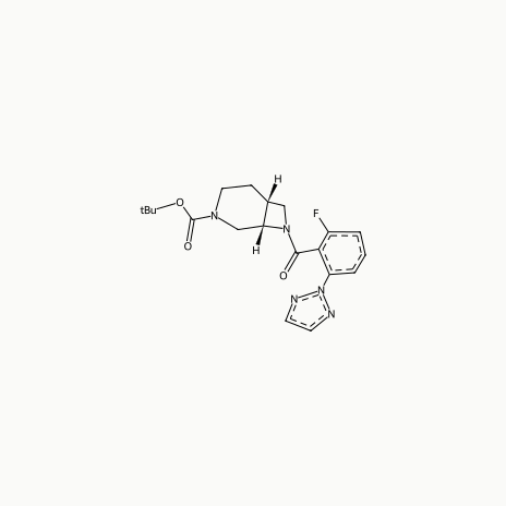 CC(C)(C)OC(=O)N1CC[C@@H]2CN(C(=O)c3c(F)cccc3-n3nccn3)[C@@H]2C1